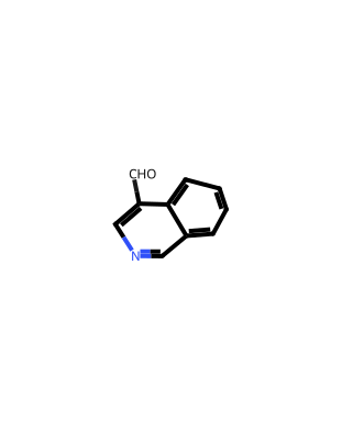 O=Cc1cncc2ccccc12